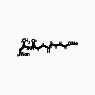 CCCCCCCCCCC(C)NC(=O)CCNCCCCOC